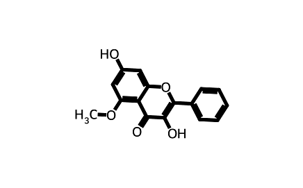 COc1cc(O)cc2oc(-c3ccccc3)c(O)c(=O)c12